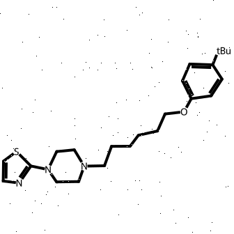 CC(C)(C)c1ccc(OCCCCCCN2CCN(c3nccs3)CC2)cc1